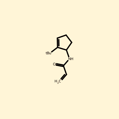 C=CC(=O)NC1CCC=C1C(C)(C)C